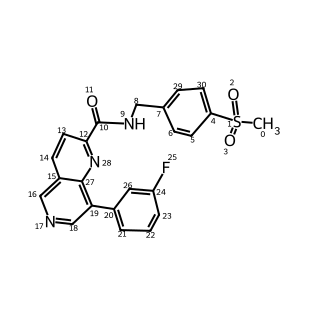 CS(=O)(=O)c1ccc(CNC(=O)c2ccc3cncc(-c4cccc(F)c4)c3n2)cc1